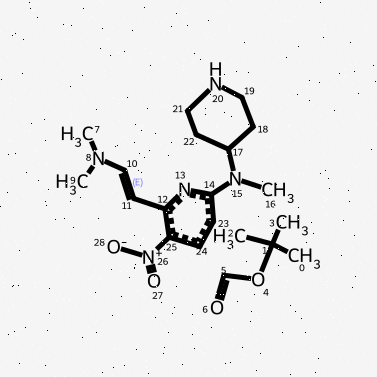 CC(C)(C)OC=O.CN(C)/C=C/c1nc(N(C)C2CCNCC2)ccc1[N+](=O)[O-]